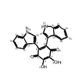 O=C1C(O)=C(O)C(=O)C(c2c[nH]c3ccccc23)=C1c1c[nH]c2ccccc12